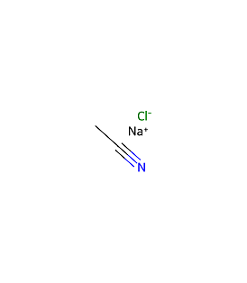 CC#N.[Cl-].[Na+]